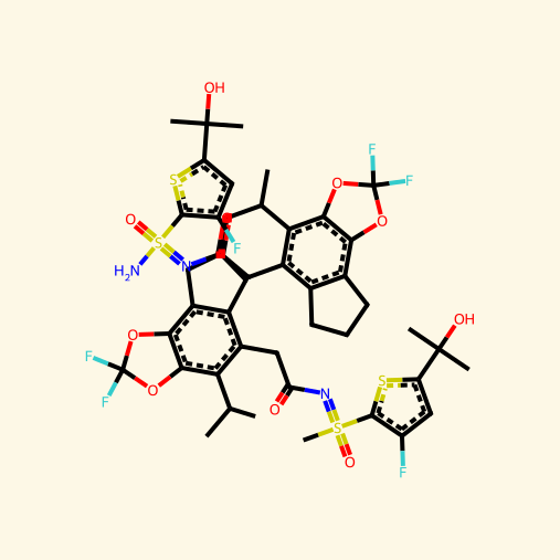 CC(C)c1c(CC(=O)N=S(C)(=O)c2sc(C(C)(C)O)cc2F)c2c(c3c1OC(F)(F)O3)CC(CC(C)c1c(CC(=O)N=S(N)(=O)c3sc(C(C)(C)O)cc3F)c3c(c4c1OC(F)(F)O4)CCC3)C2